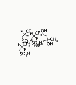 CC(O)(CCO)CCO.O=S(=O)(O)CC(F)(F)C(F)(F)F.O=S(=O)(O)CC(F)(F)C(F)(F)F.O=S(=O)(O)CC(F)(F)C(F)(F)F